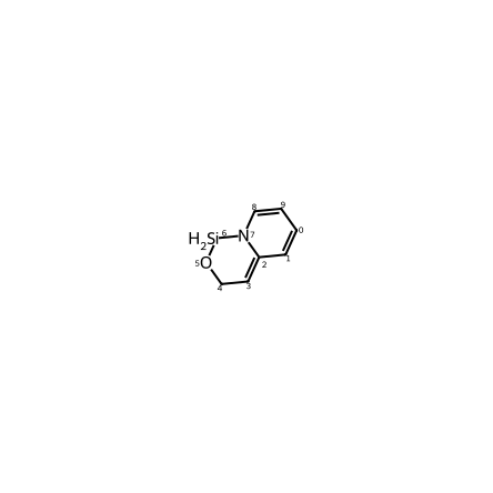 C1=CC2=CCO[SiH2]N2C=C1